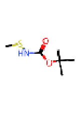 CSNC(=O)OC(C)(C)C